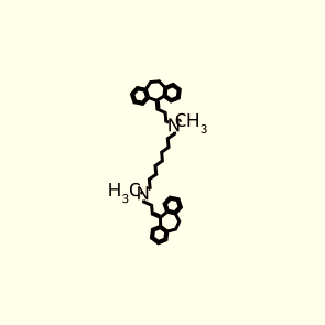 CN(CCC=C1c2ccccc2CCc2ccccc21)CCCCCCCCCN(C)CCC=C1c2ccccc2CCc2ccccc21